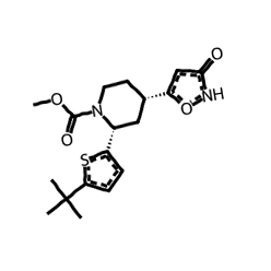 COC(=O)N1CC[C@H](c2cc(=O)[nH]o2)C[C@@H]1c1ccc(C(C)(C)C)s1